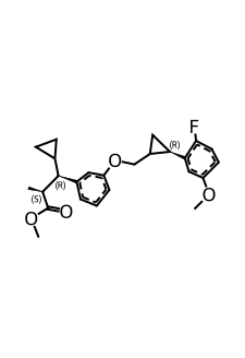 COC(=O)[C@@H](C)[C@H](c1cccc(OCC2C[C@H]2c2cc(OC)ccc2F)c1)C1CC1